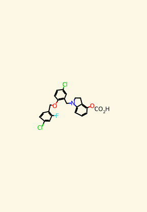 O=C(O)Oc1cccc2c1CCN2Cc1cc(Cl)ccc1OCc1ccc(Cl)cc1F